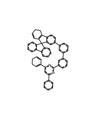 C1=CC(c2cc(-c3ccccc3)nc(-c3cccc(-c4cccc(-c5ccc6c(c5)C5(C7=C6CCC=C7)c6ccccc6-c6ccccc65)c4)c3)n2)=CCC1